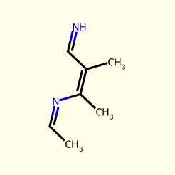 C/C=N\C(C)=C(\C)C=N